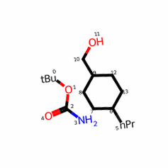 CC(C)(C)OC(N)=O.CCCC1CCC(CO)CC1